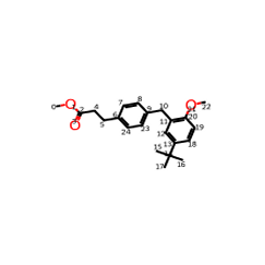 COC(=O)CCc1ccc(Cc2cc(C(C)(C)C)ccc2OC)cc1